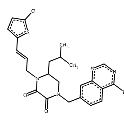 CC(C)CC1CN(Cc2ccc3c(N)ncnc3c2)C(=O)C(=O)N1C/C=C/c1ccc(Cl)s1